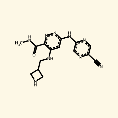 CNC(=O)c1nnc(Nc2cnc(C#N)cn2)cc1NCC1CNC1